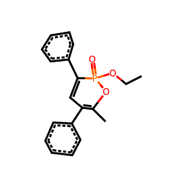 CCOP1(=O)OC(C)=C(c2ccccc2)C=C1c1ccccc1